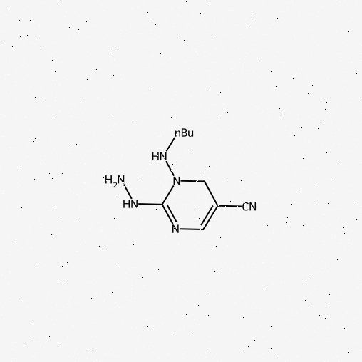 CCCCNN1CC(C#N)=CN=C1NN